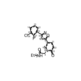 CCNC(=O)Cn1nc(-c2nc(-c3cccc(Cl)c3F)no2)ccc1=O